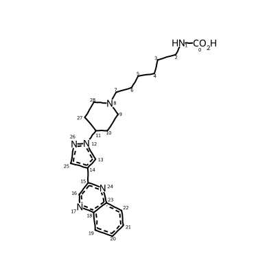 O=C(O)NCCCCCCN1CCC(n2cc(-c3cnc4ccccc4n3)cn2)CC1